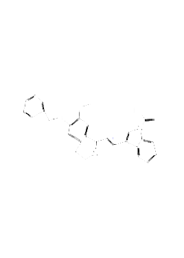 COc1cc2c(cc1OCc1ccccc1)CCNC2/C=C/c1cn(C(=O)O)c2ccccc12